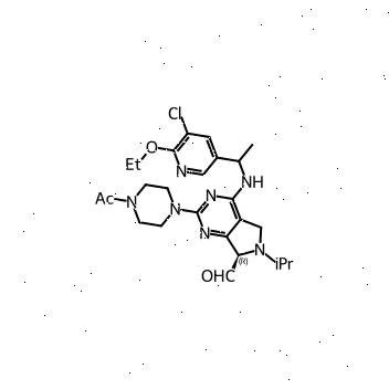 CCOc1ncc(C(C)Nc2nc(N3CCN(C(C)=O)CC3)nc3c2CN(C(C)C)[C@H]3C=O)cc1Cl